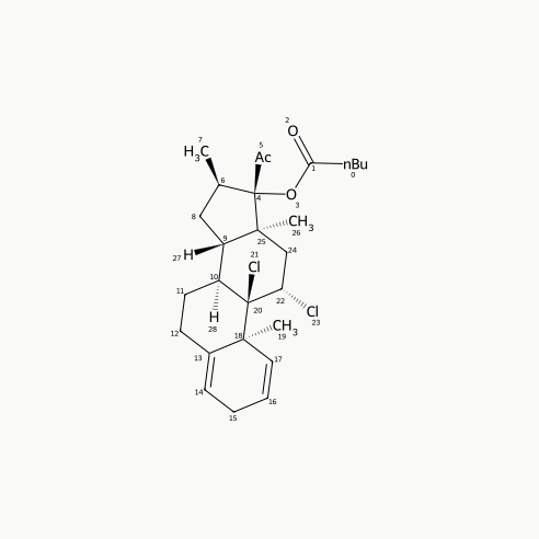 CCCCC(=O)O[C@@]1(C(C)=O)[C@H](C)C[C@H]2[C@@H]3CCC4=CCC=C[C@]4(C)[C@@]3(Cl)[C@@H](Cl)C[C@@]21C